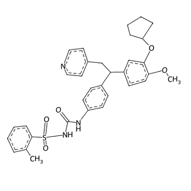 COc1ccc(C(Cc2ccncc2)c2ccc(NC(=O)NS(=O)(=O)c3ccccc3C)cc2)cc1OC1CCCC1